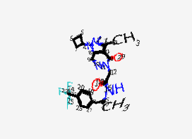 Cc1nn(C2CCC2)c2cnn(CC(=O)NC(C)c3ccc(C(F)(F)F)cc3)c(=O)c12